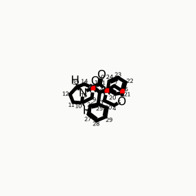 O=C(N1CCOCC1)N1C[C@H]2CC[C@@H](C1)N2C(=O)C(c1ccccc1)c1ccccc1